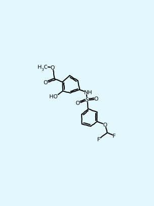 COC(=O)c1ccc(NS(=O)(=O)c2cccc(OC(F)F)c2)cc1O